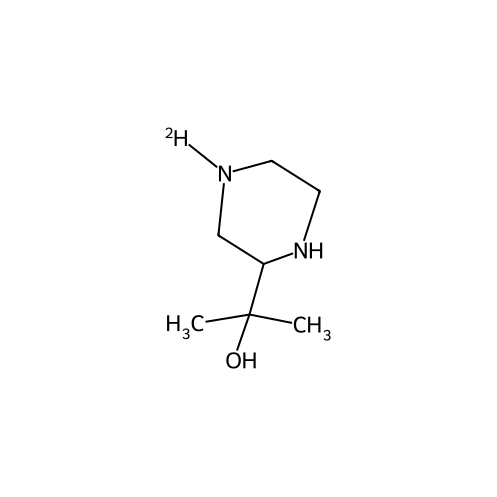 [2H]N1CCNC(C(C)(C)O)C1